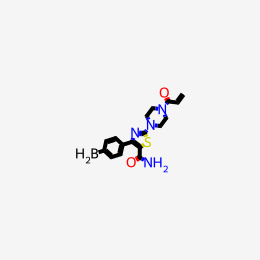 Bc1ccc(-c2nc(N3CCN(C(=O)C=C)CC3)sc2C(N)=O)cc1